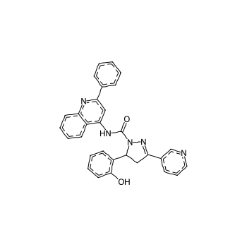 O=C(Nc1cc(-c2ccccc2)nc2ccccc12)N1N=C(c2cccnc2)CC1c1ccccc1O